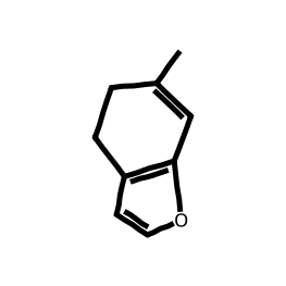 CC1=Cc2occc2CC1